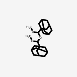 COC(OC(OC)C12CC3CC(CC(C3)C1)C2)C12CC3CC(CC(C3)C1)C2